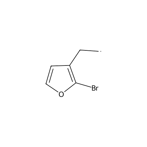 [CH2]Cc1ccoc1Br